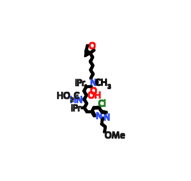 COCCCc1ncc2c(Cl)cc(CC(CC(NC(=O)O)C(O)CC(C(=O)N(C)CCCCCCC34COCC3C4)C(C)C)C(C)C)cn12